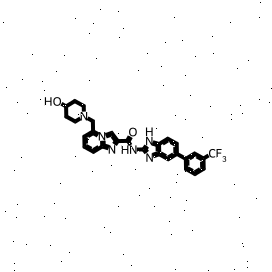 O=C(Nc1nc2cc(-c3cccc(C(F)(F)F)c3)ccc2[nH]1)c1cn2c(CN3CCC(O)CC3)cccc2n1